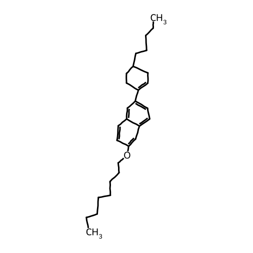 CCCCCCCCOc1ccc2cc(C3=CCC(CCCCC)CC3)ccc2c1